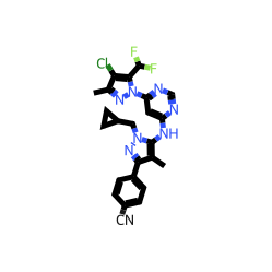 Cc1nn(-c2cc(Nc3c(C)c(-c4ccc(C#N)cc4)nn3CC3CC3)ncn2)c(C(F)F)c1Cl